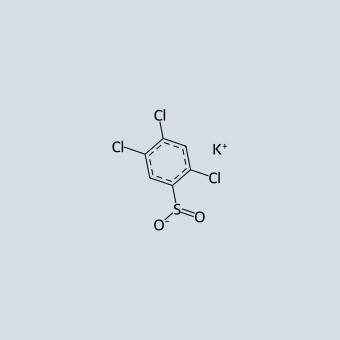 O=S([O-])c1cc(Cl)c(Cl)cc1Cl.[K+]